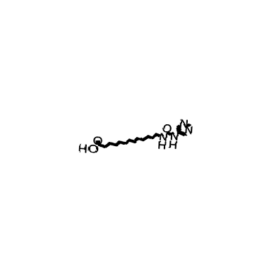 O=C(O)CCCCCCCCCCCCNC(=O)Nc1cncnc1